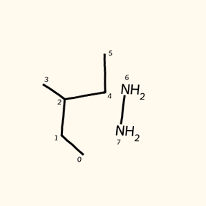 CCC(C)CC.NN